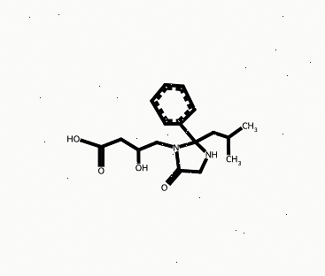 CC(C)CC1(c2ccccc2)NCC(=O)N1CC(O)CC(=O)O